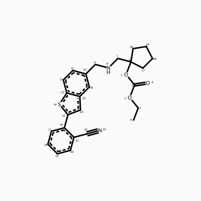 CCOC(=O)OC1(CNCc2ccc3sc(-c4ccccc4C#N)cc3c2)CCCC1